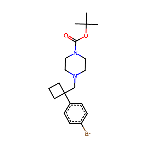 CC(C)(C)OC(=O)N1CCN(CC2(c3ccc(Br)cc3)CCC2)CC1